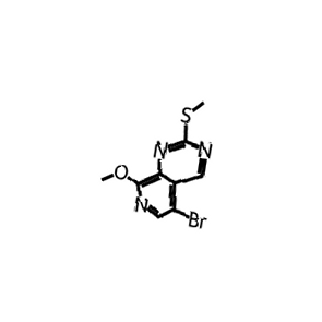 COc1ncc(Br)c2cnc(SC)nc12